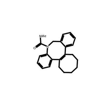 CNC(=O)N1Cc2ccccc2/C2=C(/CCCCCC2)c2ccccc21